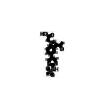 CC(=O)c1nn(CC(=O)O)c2ccc(-c3cnc(NS(C)(=O)=O)nc3)cc12